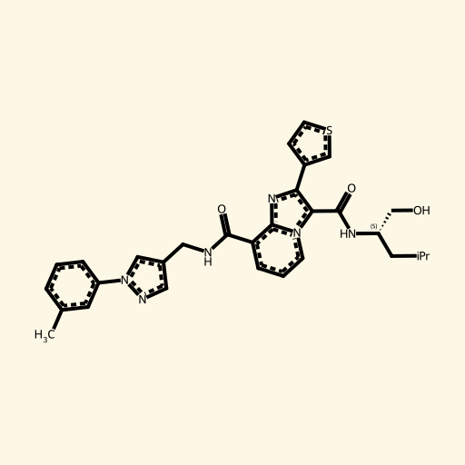 Cc1cccc(-n2cc(CNC(=O)c3cccn4c(C(=O)N[C@H](CO)CC(C)C)c(-c5ccsc5)nc34)cn2)c1